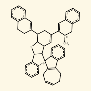 C[C@H]1Cc2ccccc2C=C1C1=CC2C(SC3c4ccccc4[C@]4(C5=C(CCC=CC5)c5ccccc54)C32)C(C2=Cc3ccccc3CC2)C1